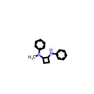 CN(c1ccccc1)C1CCC1Nc1ccccc1